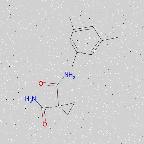 Cc1cc(C)cc(C)c1.NC(=O)C1(C(N)=O)CC1